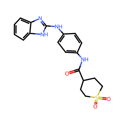 O=C(Nc1ccc(Nc2nc3ccccc3[nH]2)cc1)C1CCS(=O)(=O)CC1